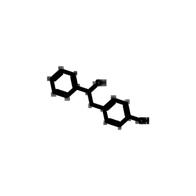 Oc1ccc(CC(O)c2ccccc2)cc1